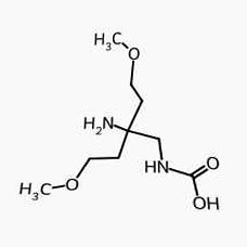 COCCC(N)(CCOC)CNC(=O)O